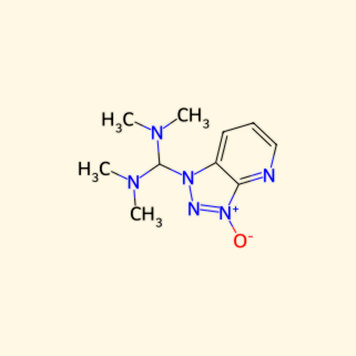 CN(C)C(N(C)C)n1n[n+]([O-])c2ncccc21